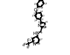 FC(F)(F)c1cc(NCc2nc(-c3ccc(Oc4ccccc4)cc3)cs2)ccn1